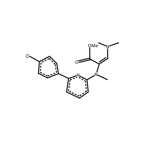 COC(=O)C(=CN(C)C)N(C)c1cccc(-c2ccc(Cl)cc2)n1